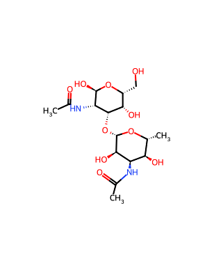 CC(=O)N[C@H]1[C@@H](O)[C@H](O[C@H]2[C@@H](O)[C@@H](CO)O[C@H](O)[C@H]2NC(C)=O)O[C@H](C)[C@H]1O